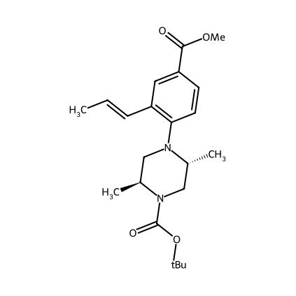 C/C=C/c1cc(C(=O)OC)ccc1N1C[C@H](C)N(C(=O)OC(C)(C)C)C[C@H]1C